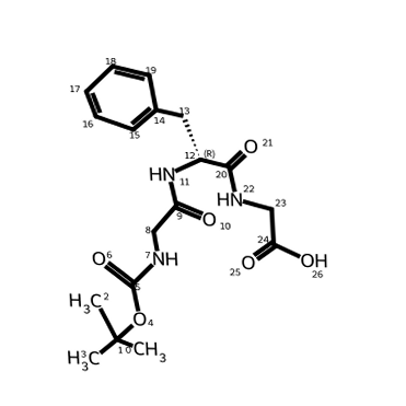 CC(C)(C)OC(=O)NCC(=O)N[C@H](Cc1ccccc1)C(=O)NCC(=O)O